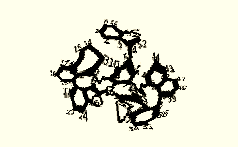 c1ccc2c(-c3cc4c5c(c3)-n3c6cccc7cccc(c8cccc9oc(c3c98)B5c3oc5cccc8c9cccc%10cccc(c%109)n-4c3c58)c76)csc2c1